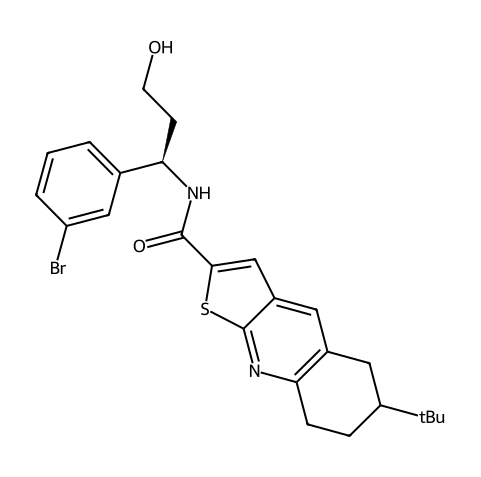 CC(C)(C)C1CCc2nc3sc(C(=O)N[C@H](CCO)c4cccc(Br)c4)cc3cc2C1